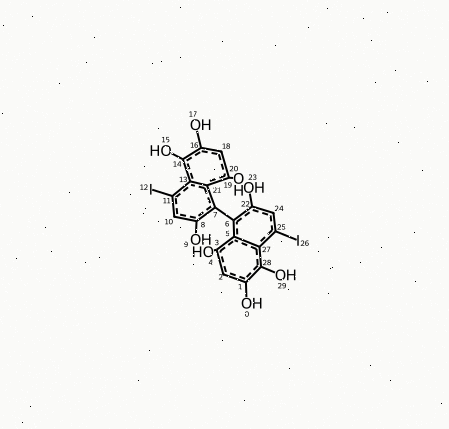 Oc1cc(O)c2c(-c3c(O)cc(I)c4c(O)c(O)cc(O)c34)c(O)cc(I)c2c1O